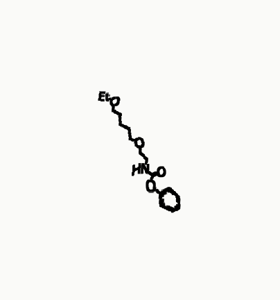 CCOCCCCCOCCNC(=O)Oc1ccccc1